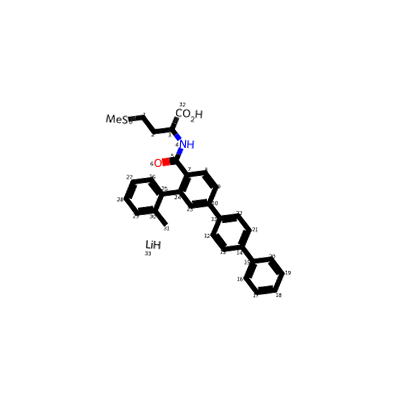 CSCCC(NC(=O)c1ccc(-c2ccc(-c3ccccc3)cc2)cc1-c1ccccc1C)C(=O)O.[LiH]